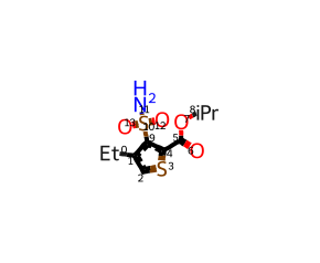 CCc1csc(C(=O)OC(C)C)c1S(N)(=O)=O